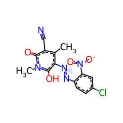 Cc1c(/N=N/c2ccc(Cl)cc2[N+](=O)[O-])c(O)n(C)c(=O)c1C#N